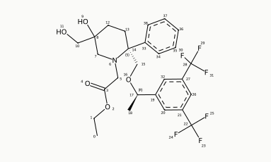 CCOC(=O)CN1CC(O)(CO)CC[C@@]1(CO[C@H](C)c1cc(C(F)(F)F)cc(C(F)(F)F)c1)c1ccccc1